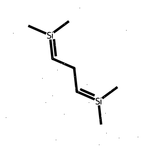 C[Si](C)=CCC=[Si](C)C